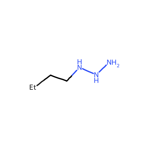 CCCCNNN